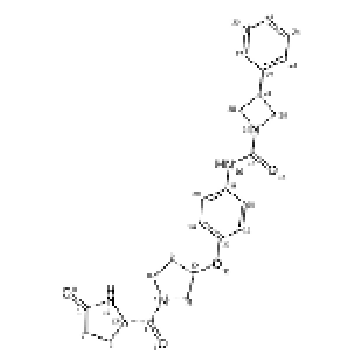 O=C1CC[C@@H](C(=O)N2CCC(Oc3ccc(NC(=O)N4CC(c5cccnc5)C4)cc3)C2)N1